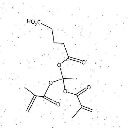 C=C(C)C(=O)OC(C)(OC(=O)CCCC(=O)O)OC(=O)C(=C)C